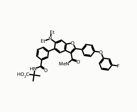 CCN(CC)c1cc2oc(-c3ccc(Oc4cccc(F)c4)cc3)c(C(=O)NC)c2cc1-c1cccc(C(=O)NC(C)(C)C(=O)O)c1